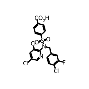 O=C(O)c1ccc(S(=O)(=O)N(Cc2ccc(Cl)c(F)c2)c2ncc(Cl)cc2Cl)cc1